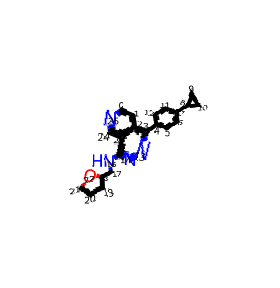 c1cc2c(-c3ccc(C4CC4)cc3)nnc(NCC3CCCO3)c2cn1